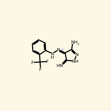 N=C1NN=C(N)/C1=N/Nc1ccccc1C(F)(F)F